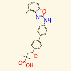 Cc1cccc2oc(Nc3ccc(-c4ccc(C(=O)CC(C)(C)C(=O)O)cc4)cc3)nc12